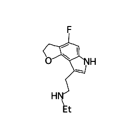 CCNCCc1c[nH]c2cc(F)c3c(c12)OCC3